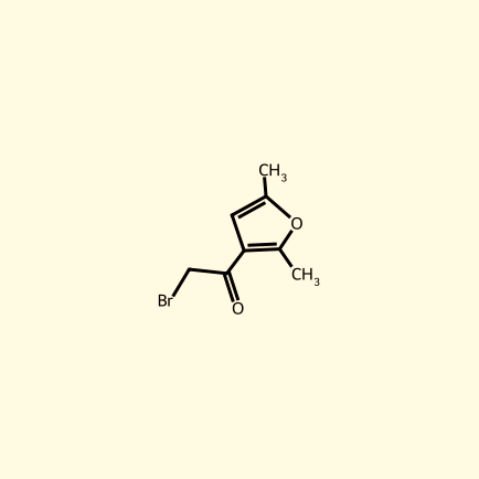 Cc1cc(C(=O)CBr)c(C)o1